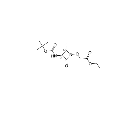 CCOC(=O)CON1C(=O)[C@@H](NC(=O)OC(C)(C)C)[C@@H]1C